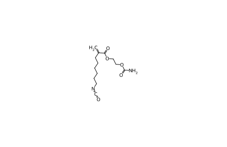 C=C(CCCCCCN=C=O)C(=O)OCCOC(N)=O